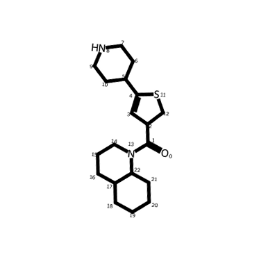 O=C(C1C=C(C2CCNCC2)SC1)N1CCCC2CCCCC21